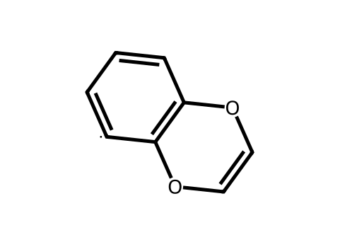 [c]1cccc2c1OC=CO2